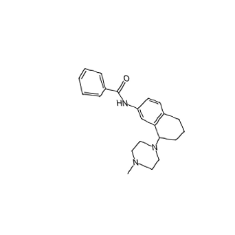 CN1CCN(C2CCCc3ccc(NC(=O)c4ccccc4)cc32)CC1